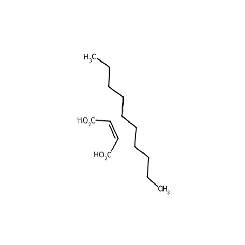 CCCCCCCCCC.O=C(O)/C=C\C(=O)O